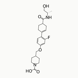 C[C@@H](CO)NC(=O)C1CC=C(c2ccc(OCC3CCN(C(=O)O)CC3)cc2F)CC1